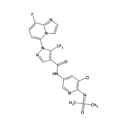 CS(C)(=O)=Nc1ncc(NC(=O)c2cnn(-c3ccc(F)c4nccn34)c2C(F)(F)F)cc1Cl